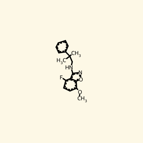 COc1ccc(F)c2c(NCC(C)(C)c3ccccc3)noc12